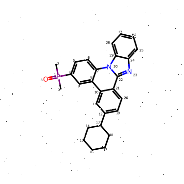 CP(C)(=O)c1ccc2c(c1)c1cc(C3CCCCC3)ccc1c1nc3ccccc3n21